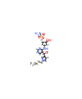 NS(=O)(=O)OC[C@H]1CC(Nc2ncncc2C(=O)c2ccn(CCSC(F)(F)F)n2)C[C@@H]1O